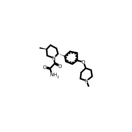 C[C@H]1CC[C@H](c2ccc(OC3CCN(C)CC3)cc2)N(C(=O)C(N)=O)C1